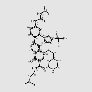 CC(C)NC(=O)Nc1cc(-c2nc(C(F)(F)F)cs2)c(-c2ccc3c(=O)c(C(=O)NCCN(C)C)cn(CCC4CCOCC4)c3c2)cn1